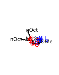 CCCCCCCC/C=C/CCCCCCCC(=O)OCC(COP(=O)(CC)OCCNC(=O)c1ccc(Cn2c(OC)nc3c(N)nc(OCCOC)nc32)cc1)OC(=O)CCCCCCC/C=C/CCCCCCCC